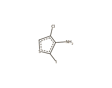 Nc1c(Cl)csc1I